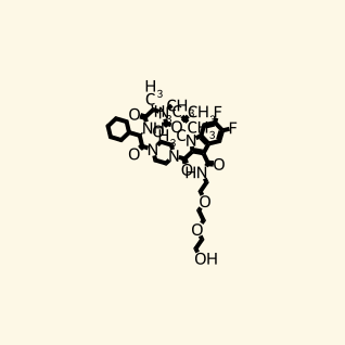 C[C@@H](C(=O)N[C@H](C(=O)N1CCN(C(=O)c2c(C(=O)NCCOCCOCCO)c3cc(F)c(F)cc3n2C)CC1)C1CCCCC1)N(C)C(=O)OC(C)(C)C